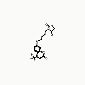 O=C1CSC(=O)N1CCCCOc1ccc2c(C(F)(F)F)cc(=O)oc2c1